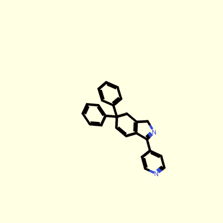 C1=CC(c2ccccc2)(c2ccccc2)CC2=C1C(c1ccncc1)=NC2